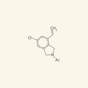 C=Cc1cc(Cl)cc2c1CN(C(C)=O)C2